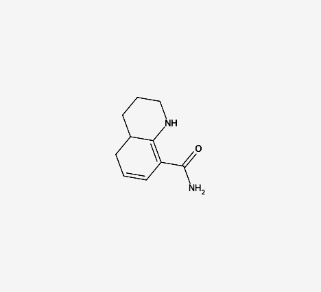 NC(=O)C1=C2NCCCC2CC=C1